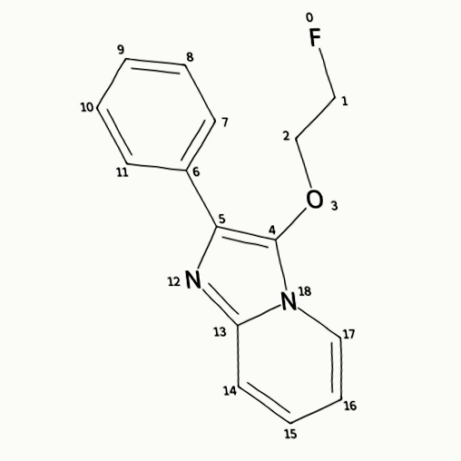 FCCOc1c(-c2ccccc2)nc2ccccn12